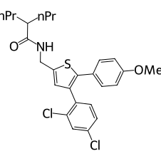 CCCC(CCC)C(=O)NCc1cc(-c2ccc(Cl)cc2Cl)c(-c2ccc(OC)cc2)s1